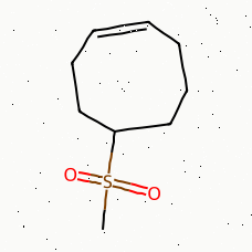 CS(=O)(=O)C1CCC=CCCC1